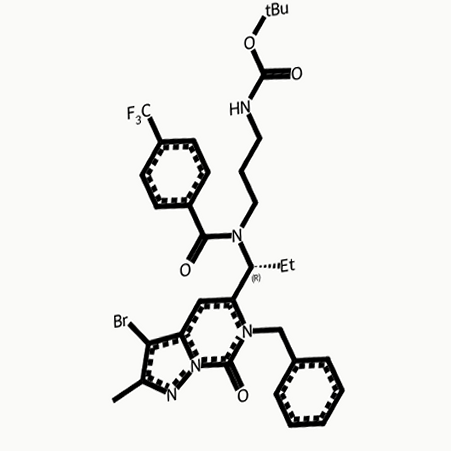 CC[C@H](c1cc2c(Br)c(C)nn2c(=O)n1Cc1ccccc1)N(CCCNC(=O)OC(C)(C)C)C(=O)c1ccc(C(F)(F)F)cc1